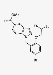 CCC(CC)COc1ccc(Br)cc1Cn1ncc2cc(C(=O)OC)ccc21